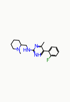 C=C(/C(C)=N\C(=N)NCC1CCCCN1C)c1ccccc1F